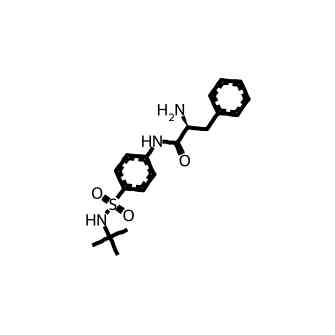 CC(C)(C)NS(=O)(=O)c1ccc(NC(=O)[C@@H](N)Cc2ccccc2)cc1